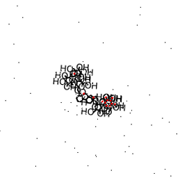 C=C1CC23CCC4[C@](C)(C(=O)OC5OC(CO)C(O)C(OC6OC(CO)C(O)C(O)C6O)C5OC5OC(CO)C(O)C(O)C5O)CCC[C@@]4(C)[C@@H]2CCC1(OC1OC(CO)C(O)C(OC2OC(CO)C(O)C(O)C2O)C1OC1OC(CO)C(O)C(O)C1O)C3